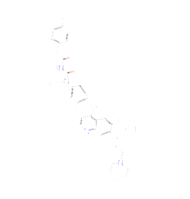 COc1cc2c(Oc3ccc(N(S)C(=O)NC(=O)Cc4ccc(F)cc4)cc3F)ccnc2cc1OCCN1CCOCC1